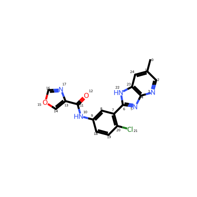 Cc1cnc2nc(-c3cc(NC(=O)c4cocn4)ccc3Cl)[nH]c2c1